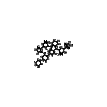 c1ccc(-c2ccc(-c3ccc4c(-c5cncc(-c6nccs6)c5)c5ccccc5c(-c5cncc(-c6nccs6)c5)c4c3)cc2)cc1